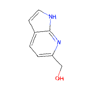 OCc1ccc2cc[nH]c2n1